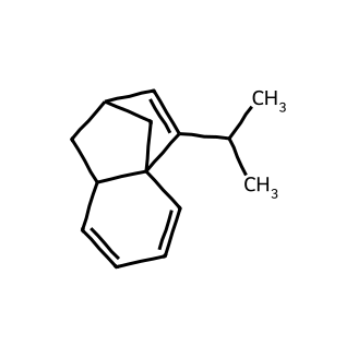 CC(C)C1=CC2CC3C=CC=CC13C2